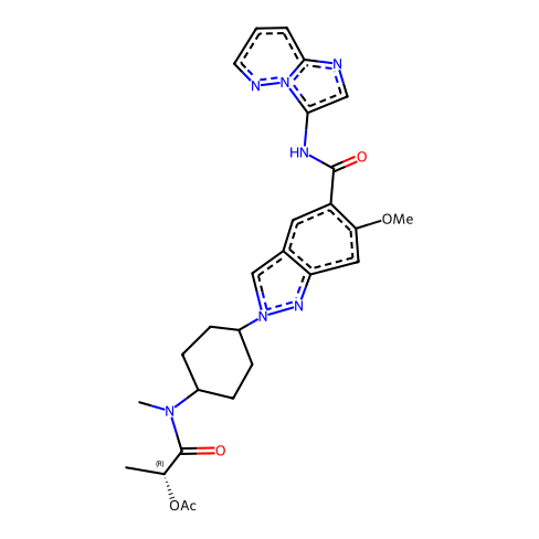 COc1cc2nn(C3CCC(N(C)C(=O)[C@@H](C)OC(C)=O)CC3)cc2cc1C(=O)Nc1cnc2cccnn12